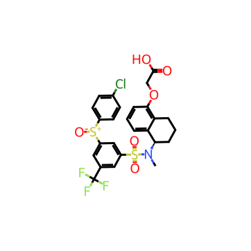 CN([C@@H]1CCCc2c(OCC(=O)O)cccc21)S(=O)(=O)c1cc([S+]([O-])c2ccc(Cl)cc2)cc(C(F)(F)F)c1